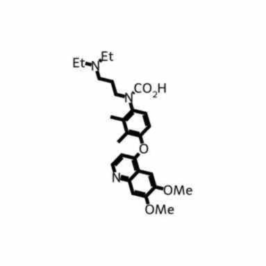 CCN(CC)CCCN(C(=O)O)c1ccc(Oc2ccnc3cc(OC)c(OC)cc23)c(C)c1C